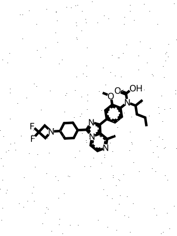 CCCC(C)N(C(=O)O)c1ccc(-c2nc(C3CCC(N4CC(F)(F)C4)CC3)n3ccnc(C)c23)cc1OC